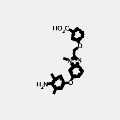 Cc1cc(Oc2ccc3nc(COc4cccc(C(=O)O)c4)n(C)c3c2)cc(C)c1N